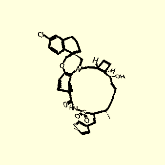 C[C@H]1C/C=C/[C@H](O)[C@@H]2CC[C@H]2CN2C[C@@]3(CCCc4cc(Cl)ccc43)COc3ccc(cc32)C(=O)NS(=O)(=O)[C@@H]1Cc1ccsc1